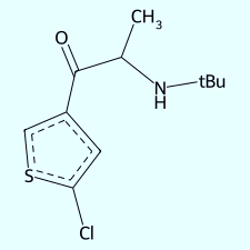 CC(NC(C)(C)C)C(=O)c1csc(Cl)c1